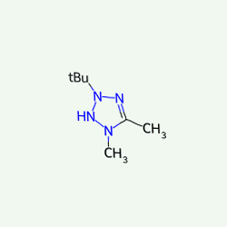 CC1=NN(C(C)(C)C)NN1C